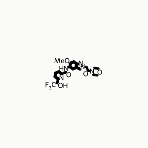 COc1cc2nn(CC(=O)N3CCOCC3)cc2cc1NC(=O)c1cccc([C@H](O)C(F)(F)F)n1